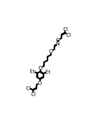 CCc1cc(OCC=C(Cl)Cl)cc(CC)c1OCCCCCOC/C=N/OCC=C(Cl)Cl